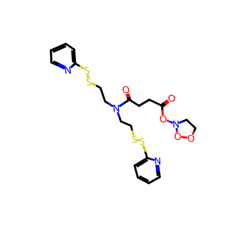 O=C(CCC(=O)N(CCSSc1ccccn1)CCSSc1ccccn1)ON1CCOO1